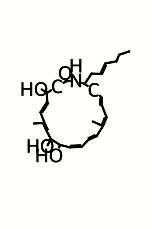 CCC/C=C/CC1C/C=C/C=C(C)/C=C/C=C\C(O)C(O)/C=C(C)\C=C\C(O)CC(=O)N1